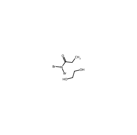 CCC(=O)N(Br)Br.OCCO